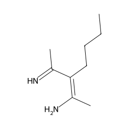 CCCC/C(C(C)=N)=C(\C)N